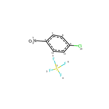 FS(F)(F)F.O=[N+]([O-])c1ccc(Cl)cc1